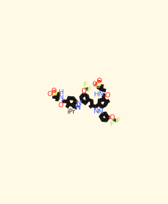 Cc1cc2c(cc1C(=O)NC1(C)CS(=O)(=O)C1)c(C(C)Cc1cc(OC(F)F)cc(-n3nc(C(C)C)c4c(C)c(C(=O)NC5(C)CS(=O)(=O)C5)ccc43)c1)nn2-c1cccc(OC(F)F)c1